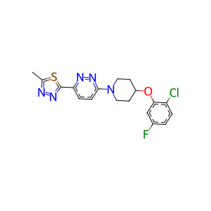 Cc1nnc(-c2ccc(N3CCC(Oc4cc(F)ccc4Cl)CC3)nn2)s1